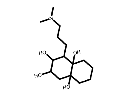 CN(C)CCCC1C(O)C(O)CC2(O)CCCCC12O